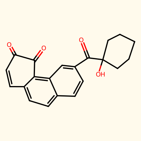 O=C1C=Cc2ccc3ccc(C(=O)C4(O)CCCCC4)cc3c2C1=O